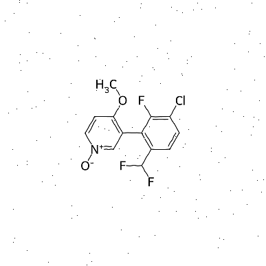 COc1cc[n+]([O-])cc1-c1c(C(F)F)ccc(Cl)c1F